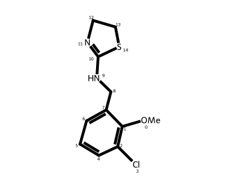 COc1c(Cl)cccc1CNC1=NCCS1